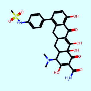 CN(C)C1C(O)=C(C(N)=O)C(=O)C2(O)C(O)=C3C(=O)c4c(O)ccc(-c5ccc(NS(C)(=O)=O)cc5)c4CC3CC12